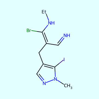 CCN/C(Br)=C(\C=N)Cc1cnn(C)c1I